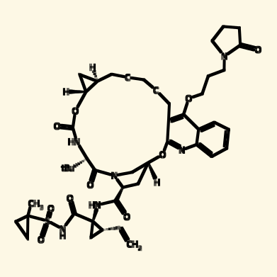 C=C[C@@H]1C[C@]1(NC(=O)[C@@H]1C[C@@H]2CN1C(=O)[C@H](C(C)(C)C)NC(=O)O[C@@H]1C[C@H]1CCCCCc1c(nc3ccccc3c1OCCCN1CCCC1=O)O2)C(=O)NS(=O)(=O)C1(C)CC1